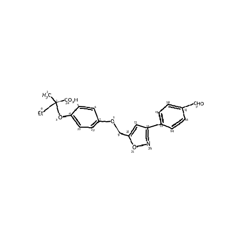 CCC(C)(Oc1ccc(OCc2cc(-c3ccc(C=O)cc3)no2)cc1)C(=O)O